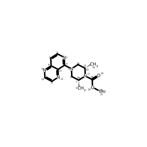 C[C@@H]1CN(c2nccc3nccnc23)C[C@H](C)N1C(=O)OC(C)(C)C